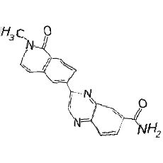 Cn1ccc2cc(-c3cnc4ccc(C(N)=O)cc4n3)ccc2c1=O